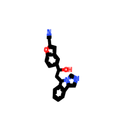 N#Cc1cc2cc(C(O)CC3c4ccccc4-c4cncn43)ccc2o1